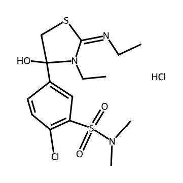 CCN=C1SCC(O)(c2ccc(Cl)c(S(=O)(=O)N(C)C)c2)N1CC.Cl